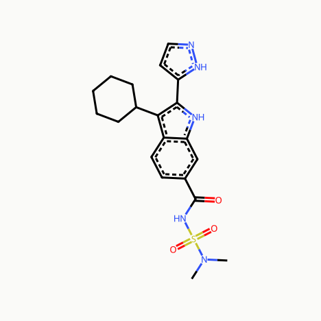 CN(C)S(=O)(=O)NC(=O)c1ccc2c(C3CCCCC3)c(-c3ccn[nH]3)[nH]c2c1